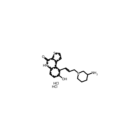 Cl.Cl.NC1CCCN(CC=Cc2c(O)ccc3[nH]c(=O)c4sccc4c23)C1